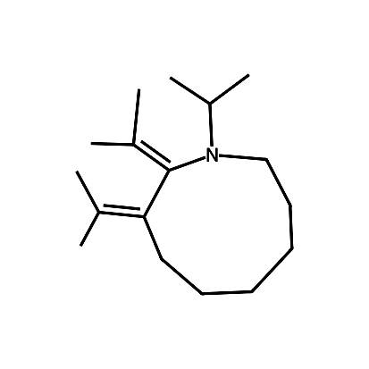 CC(C)=C1CCCCCCN(C(C)C)C1=C(C)C